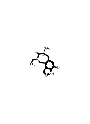 CC(=O)O[C@H]1Cc2cc(Br)c3[nH]ncc3c2CN(CC(F)(F)F)C1=O